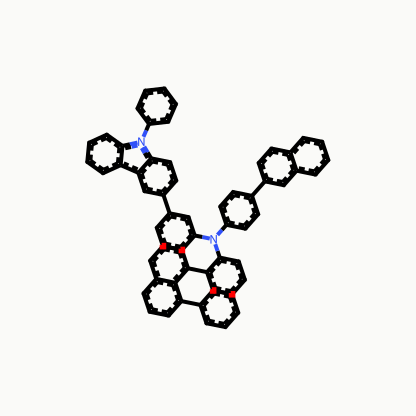 c1ccc(-c2cccc3cccc(-c4ccccc4N(c4ccc(-c5ccc6ccccc6c5)cc4)c4cccc(-c5ccc6c(c5)c5ccccc5n6-c5ccccc5)c4)c23)cc1